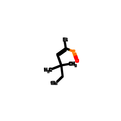 CCC(=CC(C)(C)CC(C)(C)C)P=O